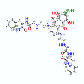 Br.Br.NC(=O)[C@H](Cc1ccccc1)NC(=O)CNCCNc1ccc(NCCNCC(=O)N[C@@H](Cc2ccccc2)C(N)=O)c2c1C(=O)c1c(O)ccc(O)c1C2=O